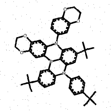 CC(C)(C)c1ccc(N2c3ccc(C(C)(C)C)cc3B3c4cc5c(cc4N(c4ccc6c(c4)OCCO6)c4cc(C(C)(C)C)cc2c43)OCCO5)cc1